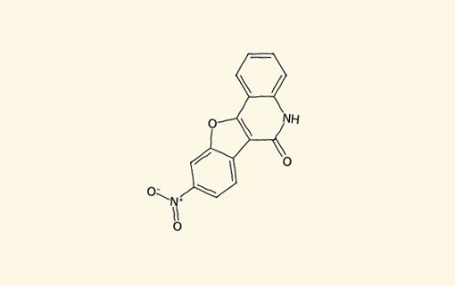 O=c1[nH]c2ccccc2c2oc3cc([N+](=O)[O-])ccc3c12